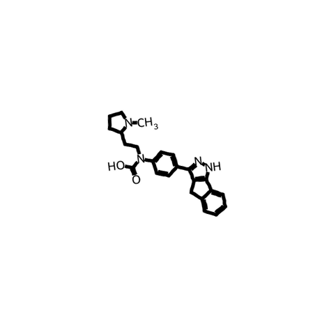 CN1CCCC1CCN(C(=O)O)c1ccc(-c2n[nH]c3c2Cc2ccccc2-3)cc1